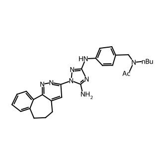 CCCCN(Cc1ccc(Nc2nc(N)n(-c3cc4c(nn3)-c3ccccc3CCC4)n2)cc1)C(C)=O